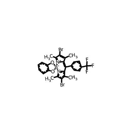 CC1=C(Br)C(C)=[N+]2C1=C(c1ccc(C(F)(F)F)cc1)c1c(C)c(Br)c(C)n1[B-]21Oc2ccccc2O1